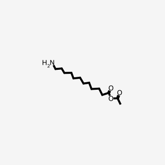 CC(=O)OC(=O)CCCCCCCCCCCN